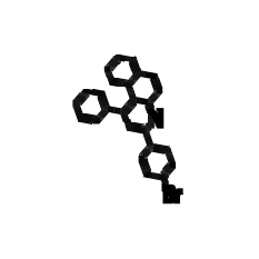 Brc1ccc(-c2cc(-c3ccccc3)c3c(ccc4ccccc43)n2)cc1